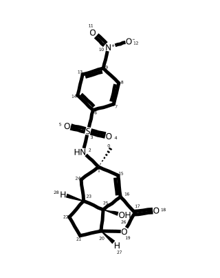 C[C@]1(NS(=O)(=O)c2ccc([N+](=O)[O-])cc2)C=C2C(=O)O[C@@H]3CC[C@H](C1)[C@]23O